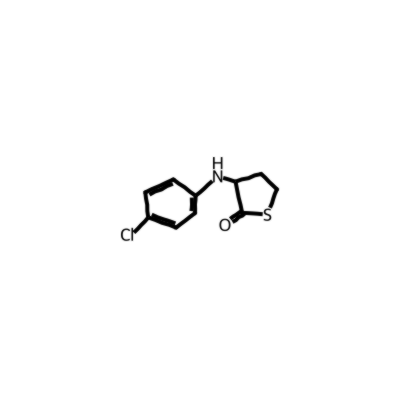 O=C1SCCC1Nc1ccc(Cl)cc1